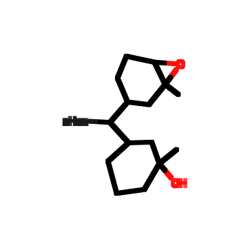 CCCCCCC(C1CCCC(C)(O)C1)C1CCC2OC2(C)C1